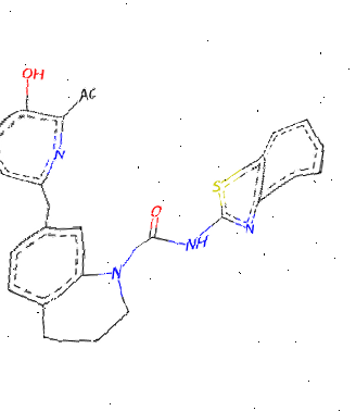 CC(=O)c1nc(-c2ccc3c(c2)N(C(=O)Nc2nc4ccccc4s2)CCC3)ccc1O